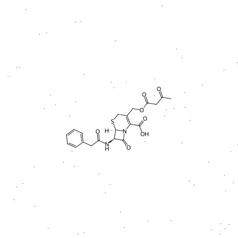 CC(=O)CC(=O)OCC1=C(C(=O)O)N2C(=O)[C@@H](NC(=O)Cc3ccccc3)[C@H]2SC1